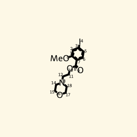 COc1cc(I)ccc1C(=O)OCCN1CCOCC1